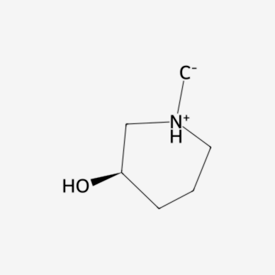 [CH2-][NH+]1CCC[C@@H](O)C1